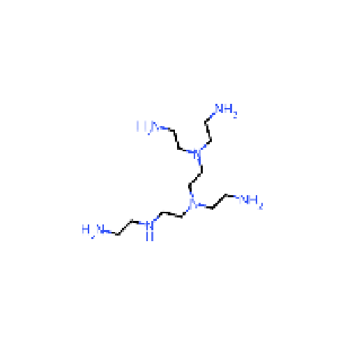 NCCNCCN(CCN)CCN(CCN)CCN